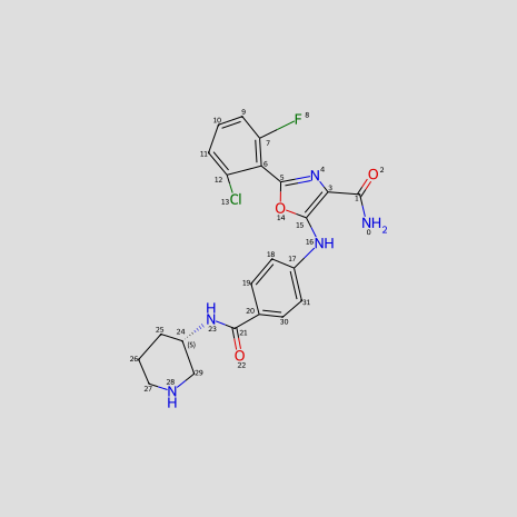 NC(=O)c1nc(-c2c(F)cccc2Cl)oc1Nc1ccc(C(=O)N[C@H]2CCCNC2)cc1